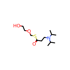 CC(C)N(CCC(=O)SCOCCO)C(C)C